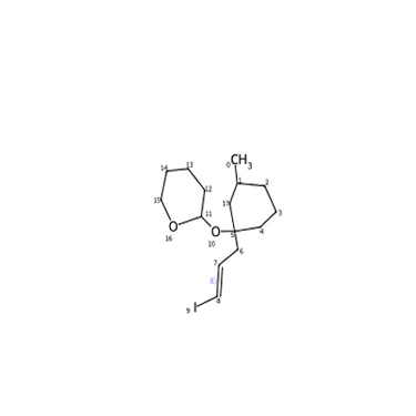 CC1CCCC(C/C=C/I)(OC2CCCCO2)C1